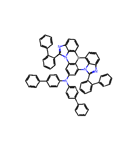 c1ccc(-c2ccc(N(c3ccc(-c4ccccc4)cc3)c3cc4c5c(c3)-n3c(-c6ccccc6-c6ccccc6)nc6cccc(c63)B5c3cccc5nc(-c6ccccc6-c6ccccc6)n-4c35)cc2)cc1